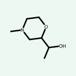 CC(O)C1CN(C)CCO1